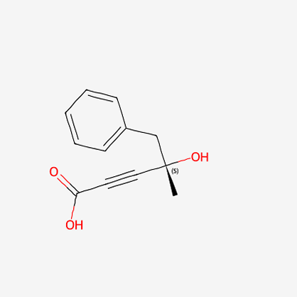 C[C@@](O)(C#CC(=O)O)Cc1ccccc1